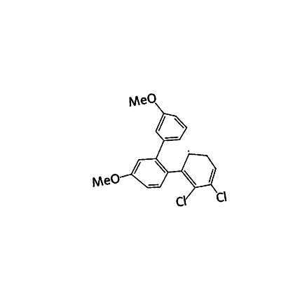 COc1cccc(-c2cc(OC)ccc2C2=C(Cl)C(Cl)=CC[CH]2)c1